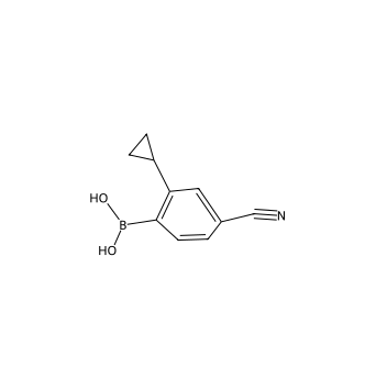 N#Cc1ccc(B(O)O)c(C2CC2)c1